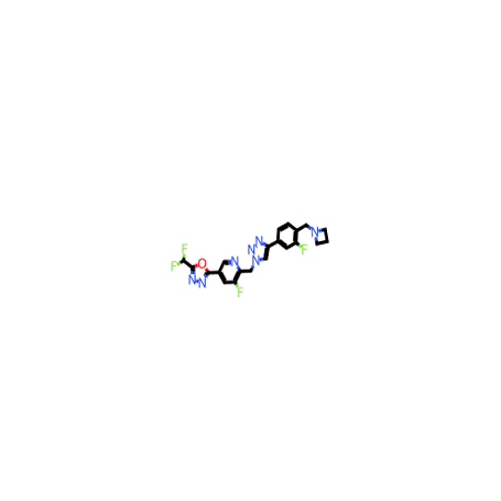 Fc1cc(-c2cn(Cc3ncc(-c4nnc(C(F)F)o4)cc3F)nn2)ccc1CN1CCC1